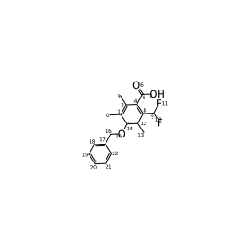 Cc1c(C)c(C(=O)O)c(C(F)F)c(C)c1OCc1ccccc1